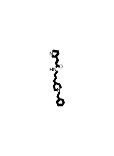 O=C(C=Cc1cccnc1)NCCCCC1CCN(CCc2ccccc2)CC1